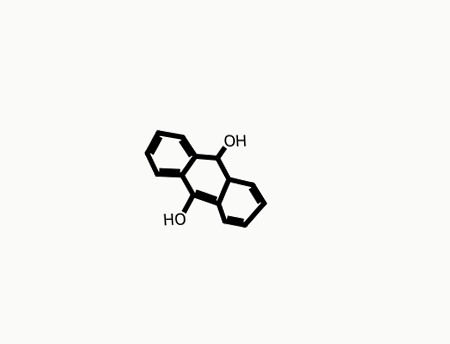 OC1=C2C=CC=CC2C(O)c2ccccc21